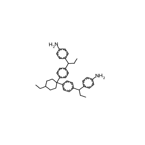 CCC1CCC(c2ccc(C(CC)c3ccc(N)cc3)cc2)(c2ccc(C(CC)c3ccc(N)cc3)cc2)CC1